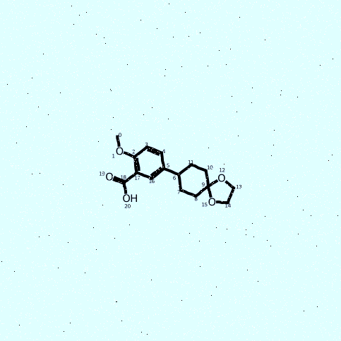 COc1ccc(C2CCC3(CC2)OCCO3)cc1C(=O)O